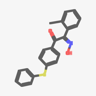 Cc1ccccc1/C(=N/O)C(=O)c1ccc(Sc2ccccc2)cc1